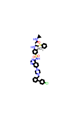 O=C(C[C@H](CSc1ccccc1)Nc1ccc(S(=O)(=O)Nc2ncnc3cc(N4CCN(Cc5ccccc5-c5ccc(Cl)cc5)CC4)ccc23)cc1[N+](=O)[O-])NC1CC1